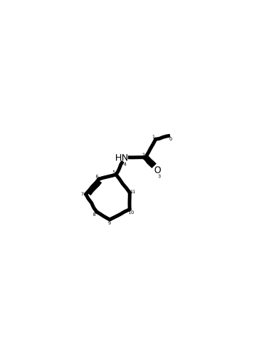 CCC(=O)NC1C=CCCCC1